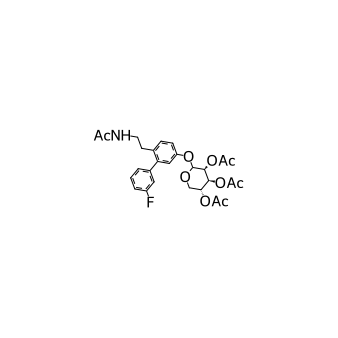 CC(=O)NCCc1ccc(OC2OC[C@@H](OC(C)=O)[C@H](OC(C)=O)[C@@H]2OC(C)=O)cc1-c1cccc(F)c1